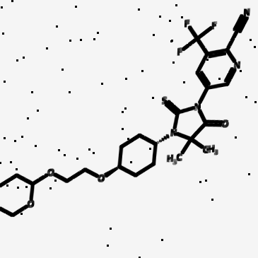 CC1(C)C(=O)N(c2cnc(C#N)c(C(F)(F)F)c2)C(=S)N1[C@H]1CC[C@H](OCCOC2CCCCO2)CC1